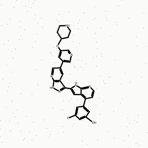 Oc1cc(F)cc(-c2ccnc3[nH]c(-c4n[nH]c5ncc(-c6cncc(OC7CCNCC7)c6)cc45)cc23)c1